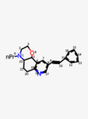 CCCN1CCOC2c3cc(C#Cc4ccccc4)cnc3CCC21